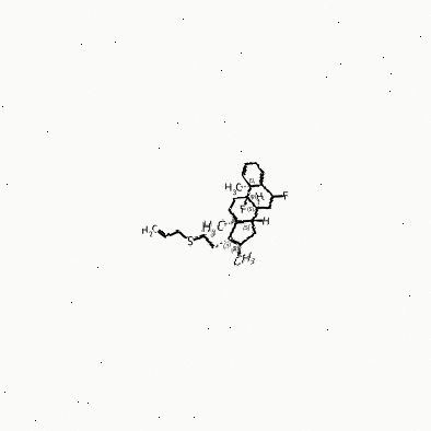 C=CCSCC[C@H]1[C@H](C)C[C@H]2[C@@H]3CC(F)C4=CCC=C[C@]4(C)[C@@]3(F)CC[C@]12C